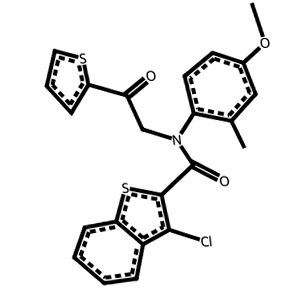 COc1ccc(N(CC(=O)c2cccs2)C(=O)c2sc3ccccc3c2Cl)c(C)c1